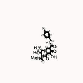 CNC(=O)N1C(=O)c2c(O)c(=O)c(C(=O)NCc3ccc(F)cc3)cn2C(C)C1O